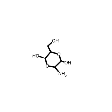 NC1O[C@@H](O)C(CO)O[C@H]1O